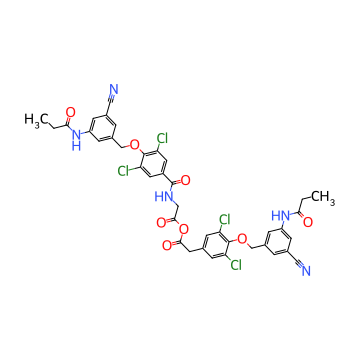 CCC(=O)Nc1cc(C#N)cc(COc2c(Cl)cc(CC(=O)OC(=O)CNC(=O)c3cc(Cl)c(OCc4cc(C#N)cc(NC(=O)CC)c4)c(Cl)c3)cc2Cl)c1